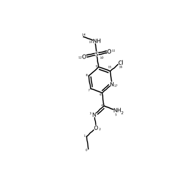 CCO/N=C(\N)c1ccc(S(=O)(=O)NC)c(Cl)n1